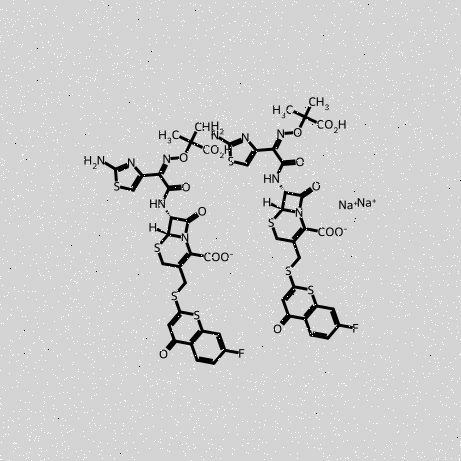 CC(C)(O/N=C(\C(=O)N[C@@H]1C(=O)N2C(C(=O)[O-])=C(CSc3cc(=O)c4ccc(F)cc4s3)CS[C@H]12)c1csc(N)n1)C(=O)O.CC(C)(O/N=C(\C(=O)N[C@@H]1C(=O)N2C(C(=O)[O-])=C(CSc3cc(=O)c4ccc(F)cc4s3)CS[C@H]12)c1csc(N)n1)C(=O)O.[Na+].[Na+]